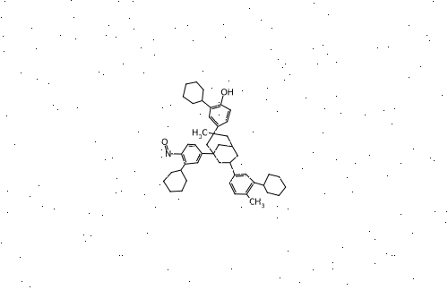 Cc1ccc(C2CC3CC(C)(c4ccc(O)c(C5CCCCC5)c4)CC(c4ccc(N=O)c(C5CCCCC5)c4)(C3)C2)cc1C1CCCCC1